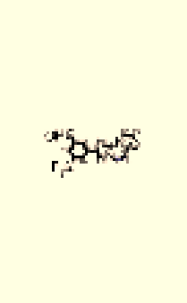 O=Cc1cc(-c2ncn(/C=C\c3ncco3)n2)cc(C(F)(F)F)c1